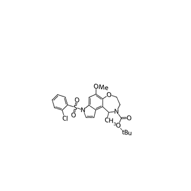 COc1cc2c(ccn2S(=O)(=O)c2ccccc2Cl)c2c1OCCN(C(=O)OC(C)(C)C)C2C